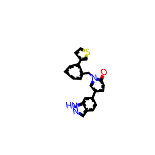 O=c1ccc(-c2ccc3cn[nH]c3c2)cn1Cc1ccccc1-c1ccsc1